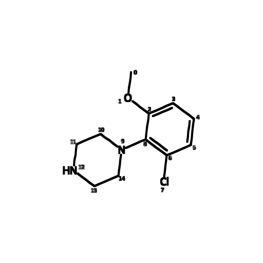 COc1cccc(Cl)c1N1CCNCC1